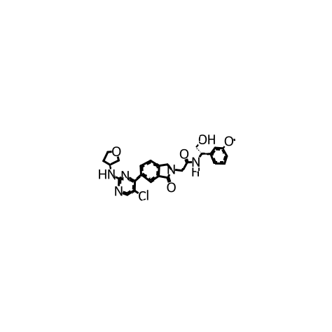 COc1cccc([C@@H](CO)NC(=O)CN2Cc3ccc(-c4nc(NC5CCOC5)ncc4Cl)cc3C2=O)c1